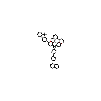 CC1(C)c2ccccc2-c2ccc(-c3ccc(N(c4ccc(-c5ccc(-c6cccc7ccccc67)cc5)cc4)c4ccccc4-c4cccc5cccc(C6CCCCC6)c45)cc3)cc21